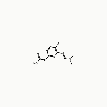 CN(C)C=Nc1nc(OC(=O)O)ncc1F